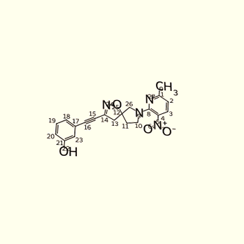 Cc1ccc([N+](=O)[O-])c(N2CCC3(CC(C#Cc4cccc(O)c4)=NO3)C2)n1